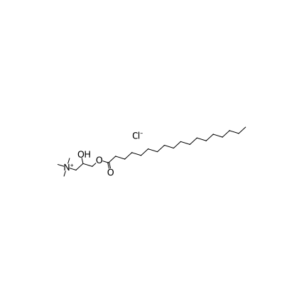 CCCCCCCCCCCCCCCCCC(=O)OCC(O)C[N+](C)(C)C.[Cl-]